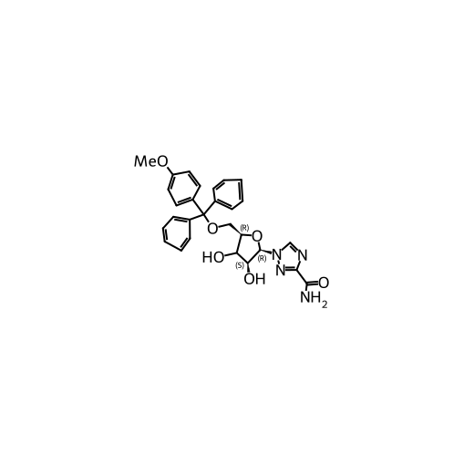 COc1ccc(C(OC[C@H]2O[C@@H](n3cnc(C(N)=O)n3)[C@@H](O)C2O)(c2ccccc2)c2ccccc2)cc1